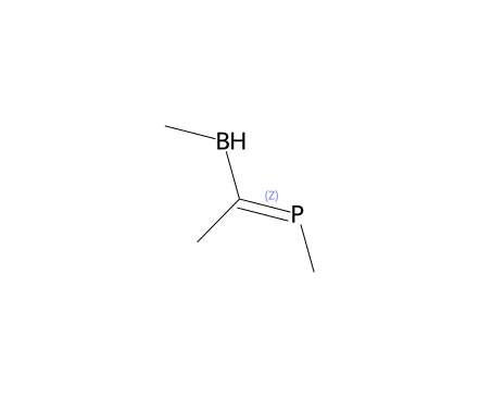 CB/C(C)=P/C